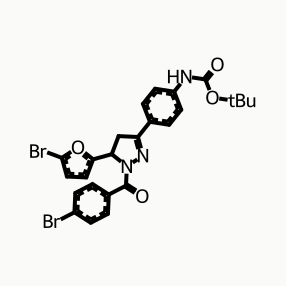 CC(C)(C)OC(=O)Nc1ccc(C2=NN(C(=O)c3ccc(Br)cc3)C(c3ccc(Br)o3)C2)cc1